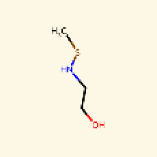 CSNCCO